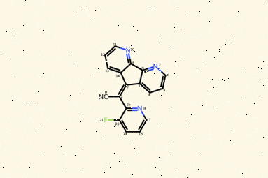 N#CC(=C1c2cccnc2-c2ncccc21)c1ncccc1F